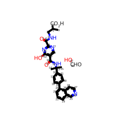 CC(CNC(=O)c1ncc(C(=O)NC(C)(C)c2ccc(-c3cccc4cnccc34)cc2)c(O)n1)C(=O)O.O=CO